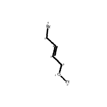 CCOCC=CCBr